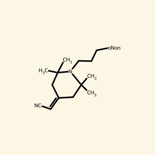 CCCCCCCCCCCCN1C(C)(C)CC(=CC#N)CC1(C)C